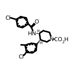 Cc1cc([C@@H]2CN(C(=O)O)CC[C@H]2NC(=O)c2ccc(Cl)cc2)ccc1Cl